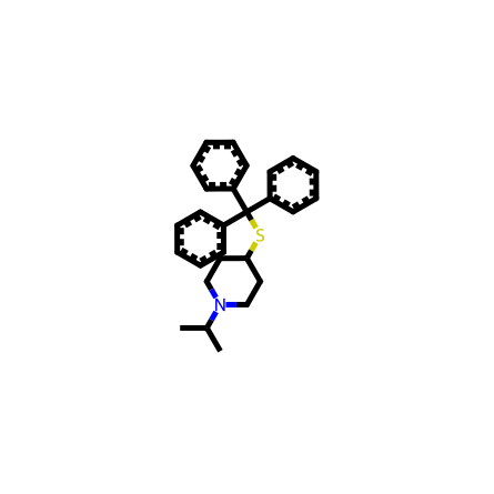 CC(C)N1CCC(SC(c2ccccc2)(c2ccccc2)c2ccccc2)CC1